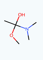 COC(C)(O)N(C)C